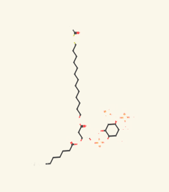 CCCCCCCCCCCCCCCC(=O)O[C@@H](COP(=O)(O)OC1C(O)[C@H](OP(=O)(O)O)C(OP(=O)(O)O)[C@H](O)[C@@H]1O)CC(=O)OCCCCCCCCCCCCCSC(=O)CCC